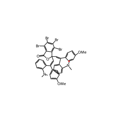 COc1ccc(C(=CC2(C=C(c3ccc(OC)cc3)c3ccccc3N(C)C)OC(=O)c3c(Br)c(Br)c(Br)c(Br)c32)c2ccccc2N(C)C)cc1